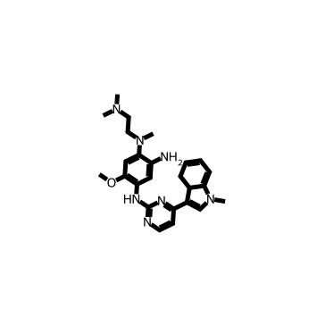 COc1cc(N(C)CCN(C)C)c(N)cc1Nc1nccc(C2=CN(C)C3=CC=CCC23)n1